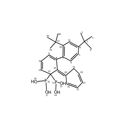 CC(C)(C)c1ccc(C2=CC=CC(P(O)O)(P(O)O)C2=C2C=CC=CC2)c(C(C)(C)C)c1